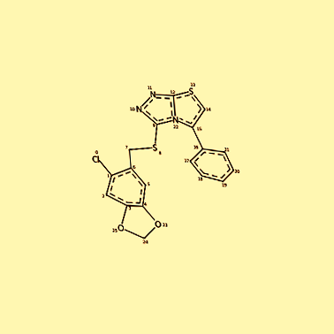 Clc1cc2c(cc1CSc1nnc3scc(-c4ccccc4)n13)OCO2